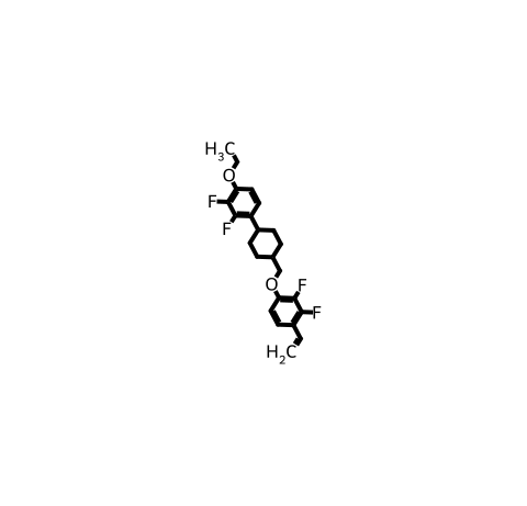 C=Cc1ccc(OCC2CCC(c3ccc(OCC)c(F)c3F)CC2)c(F)c1F